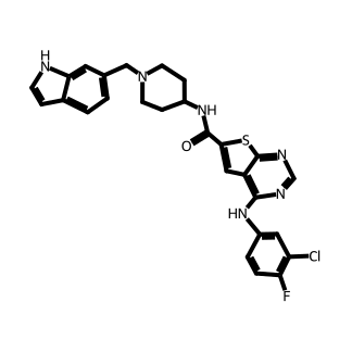 O=C(NC1CCN(Cc2ccc3cc[nH]c3c2)CC1)c1cc2c(Nc3ccc(F)c(Cl)c3)ncnc2s1